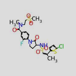 C/C(=C/S(=O)(=O)NC1CCN(c2ccc(C(=O)N(C)CCS(C)(=O)=O)cc2F)C1=O)c1ccc(Cl)s1